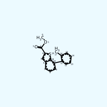 COC(=O)c1cc2cccc(-c3ccccc3C)c2s1